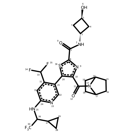 O=C(N[C@H]1C[C@H](O)C1)c1nc(C(=O)N2C3CCC2CC3)c(-c2cnc(NC(C3CC3)C(F)(F)F)cc2C(F)F)s1